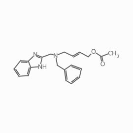 CC(=O)OCC=CCN(Cc1ccccc1)Cc1nc2ccccc2[nH]1